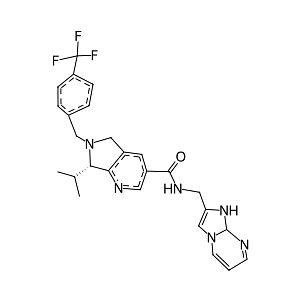 CC(C)[C@H]1c2ncc(C(=O)NCC3=CN4C=CC=NC4N3)cc2CN1Cc1ccc(C(F)(F)F)cc1